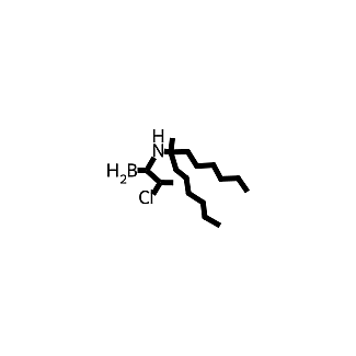 BC(NC(C)(CCCCCC)CCCCCC)C(C)Cl